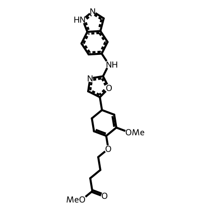 COC(=O)CCCOC1=CCC(c2cnc(Nc3ccc4[nH]ncc4c3)o2)C=C1OC